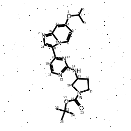 CC(C)Oc1ccn2c(-c3ccnc(NC4CCN(C(=O)OC(C)(C)C)C4)n3)cnc2c1